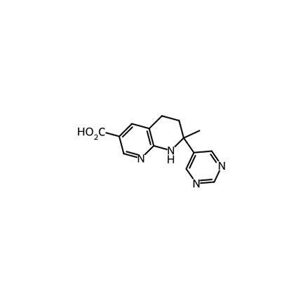 CC1(c2cncnc2)CCc2cc(C(=O)O)cnc2N1